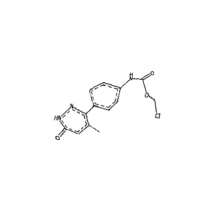 Cc1cc(=O)[nH]nc1-c1ccc(NC(=O)OCCl)cc1